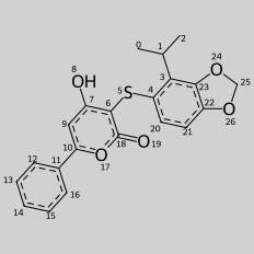 CC(C)c1c(Sc2c(O)cc(-c3ccccc3)oc2=O)ccc2c1OCO2